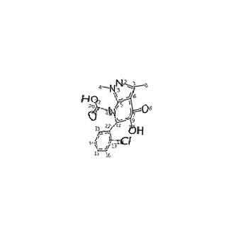 Cc1nn(C)c2c1c(=O)c(O)c(-c1ccccc1Cl)n2C(=O)O